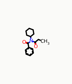 CCC(=O)N(C(=O)c1ccccc1)C1CCCCC1